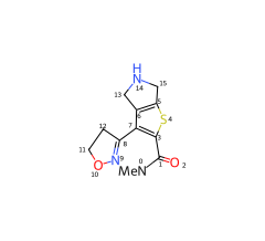 CNC(=O)c1sc2c(c1C1=NOCC1)CNC2